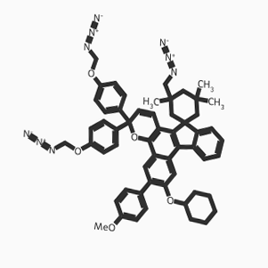 COc1ccc(-c2cc3c4c(c5c(c3cc2OC2CCCCC2)-c2ccccc2C52CC(C)(C)CC(C)(CN=[N+]=[N-])C2)C=CC(c2ccc(OCN=[N+]=[N-])cc2)(c2ccc(OCN=[N+]=[N-])cc2)O4)cc1